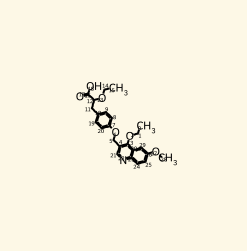 CCOc1c(COc2ccc(CC(OCC)C(=O)O)cc2)cnc2ccc(OC)cc12